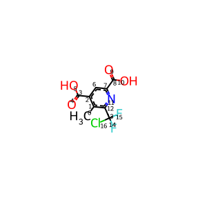 Cc1c(C(=O)O)cc(C(=O)O)nc1C(F)(F)Cl